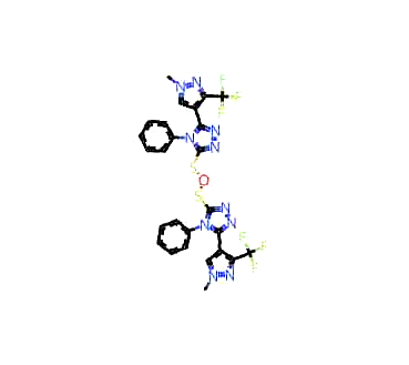 Cn1cc(-c2nnc(SOSc3nnc(-c4cn(C)nc4C(F)(F)F)n3-c3ccccc3)n2-c2ccccc2)c(C(F)(F)F)n1